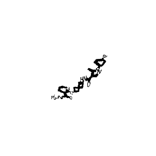 Cc1c(C(=O)N[C@H]2CC3(C2)C[C@H](Oc2ncccc2C(N)=O)C3)cnn1-c1ccc(Br)cc1